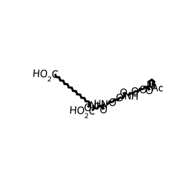 CC(=O)[C@@H]1CCCN1C(=O)COCCOCCNC(=O)COCCOCCNC(=O)CCC(NC(=O)CCCCCCCCCCCCCCCCC(=O)O)C(=O)O